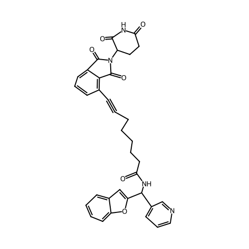 O=C1CCC(N2C(=O)c3cccc(C#CCCCCCC(=O)NC(c4cccnc4)c4cc5ccccc5o4)c3C2=O)C(=O)N1